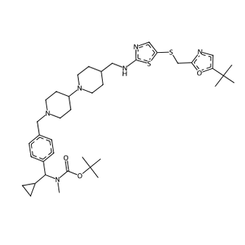 CN(C(=O)OC(C)(C)C)C(c1ccc(CN2CCC(N3CCC(CNc4ncc(SCc5ncc(C(C)(C)C)o5)s4)CC3)CC2)cc1)C1CC1